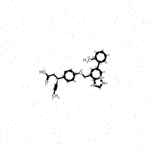 CC#C[C@@H](CC(=O)O)c1ccc(OCc2cc(-c3ccccc3C)cn3ncnc23)cc1